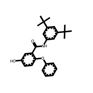 CC(C)(C)c1cc(NC(=O)c2cc(O)ccc2Oc2ccccc2)cc(C(C)(C)C)c1